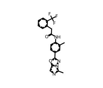 Cc1cc(-c2nn3c(C)ncc3o2)ccc1NC(=O)Cc1ccccc1C(F)(F)F